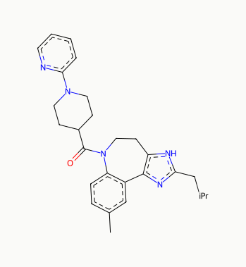 Cc1ccc2c(c1)-c1nc(CC(C)C)[nH]c1CCN2C(=O)C1CCN(c2ccccn2)CC1